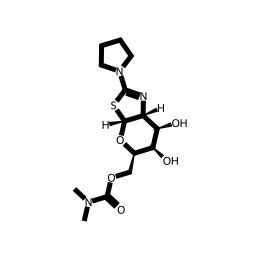 CN(C)C(=O)OC[C@H]1O[C@@H]2SC(N3CCCC3)=N[C@@H]2[C@@H](O)[C@H]1O